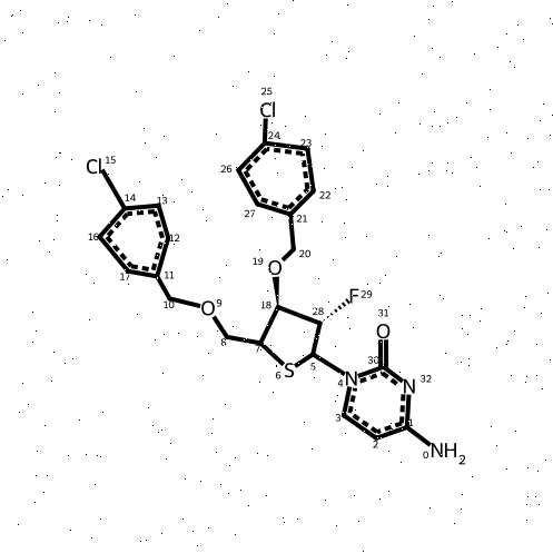 Nc1ccn(C2SC(COCc3ccc(Cl)cc3)[C@@H](OCc3ccc(Cl)cc3)[C@@H]2F)c(=O)n1